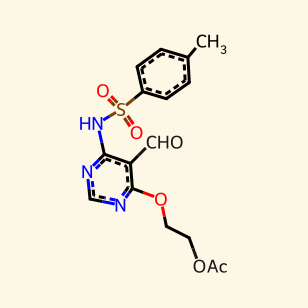 CC(=O)OCCOc1ncnc(NS(=O)(=O)c2ccc(C)cc2)c1C=O